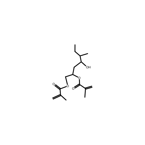 C=C(C)C(=O)OCC(CC(O)C(C)CC)OC(=O)C(=C)C